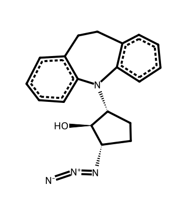 [N-]=[N+]=N[C@H]1CC[C@@H](N2c3ccccc3CCc3ccccc32)[C@@H]1O